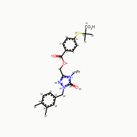 CCCn1c(COC(=O)c2ccc(SC(C)(C)C(=O)O)cc2)nn(Cc2ccc(C)c(C)c2)c1=O